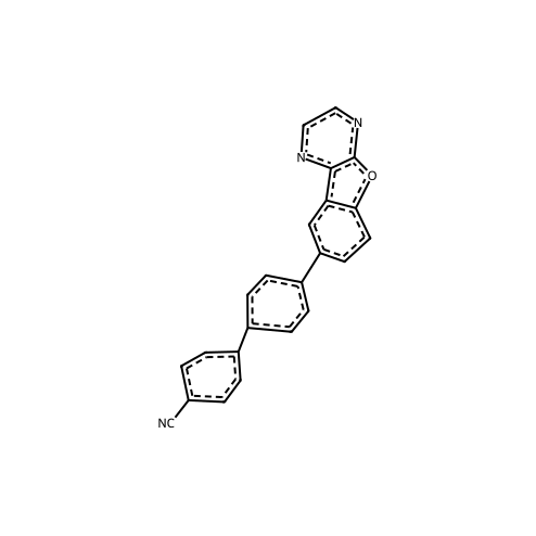 N#Cc1ccc(-c2ccc(-c3ccc4oc5nccnc5c4c3)cc2)cc1